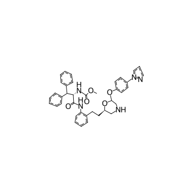 COC(=O)N[C@H](C(=O)Nc1ccccc1CC[C@@H]1CNCC(Oc2ccc(-n3cccn3)cc2)O1)C(c1ccccc1)c1ccccc1